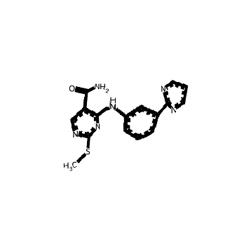 CSc1ncc(C(N)=O)c(Nc2cccc(-c3ncccn3)c2)n1